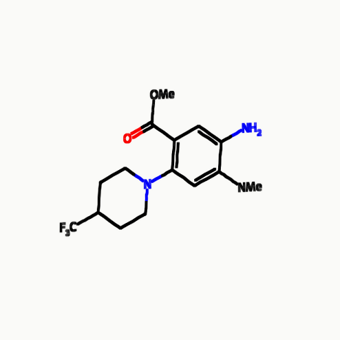 CNc1cc(N2CCC(C(F)(F)F)CC2)c(C(=O)OC)cc1N